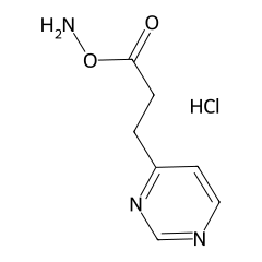 Cl.NOC(=O)CCc1ccncn1